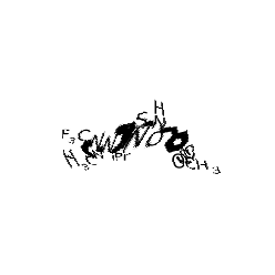 Cc1cc(C(F)(F)F)nc(N2Cc3sc(NC(=O)Cc4ccc(S(C)(=O)=O)cc4)nc3C2C(C)C)n1